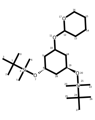 CC(C)(C)[Si](C)(C)O[C@@H]1CC(OC2CCCCO2)C[C@@H](O[Si](C)(C)C(C)(C)C)C1